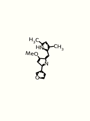 COC1=CC(c2ccoc2)=N/C1=C/c1[nH]c(C)cc1C